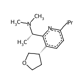 CC(C)c1ccc([C@@H]2CCOC2)c([C@H](C)N(C)C)n1